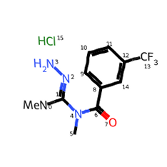 CNC(=NN)N(C)C(=O)c1cccc(C(F)(F)F)c1.Cl